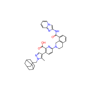 Cc1c(-c2ccc(N3CCc4cccc(C(=O)Nc5cn6ccccc6n5)c4C3)nc2C(=O)O)cnn1CC12CC3CC(CC(C3)C1)C2